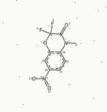 CN1C(=O)C(F)(F)Oc2cc([N+](=O)[O-])ccc21